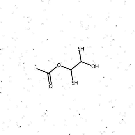 CC(=O)OC(S)C(O)S